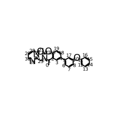 CC1c2cc(-c3cccc(Oc4ccccc4)c3)ccc2OC(=O)N1Cc1ncccn1